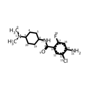 CN(C)C1CCC(NC(=O)c2cc(Cl)c(N)cc2F)CC1